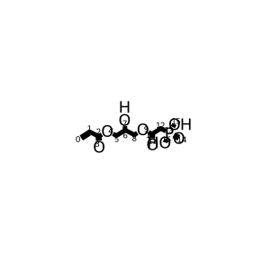 C=CC(=O)OCC(O)COC(=O)CP(=O)(O)O